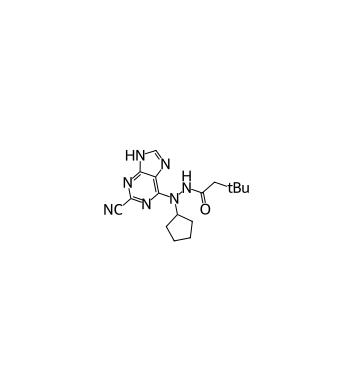 CC(C)(C)CC(=O)NN(c1nc(C#N)nc2[nH]cnc12)C1CCCC1